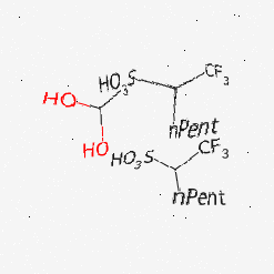 CC(O)O.CCCCCC(C(F)(F)F)S(=O)(=O)O.CCCCCC(C(F)(F)F)S(=O)(=O)O